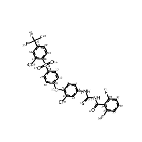 O=C(NC(=S)Nc1ccc(Oc2ccc(S(=O)(=O)c3ccc(C(F)(F)F)cc3Cl)cc2)c(Cl)c1)c1c(F)cccc1F